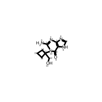 Nc1nc2nc[nH]c2c(=O)n1C1(CO)CCC1